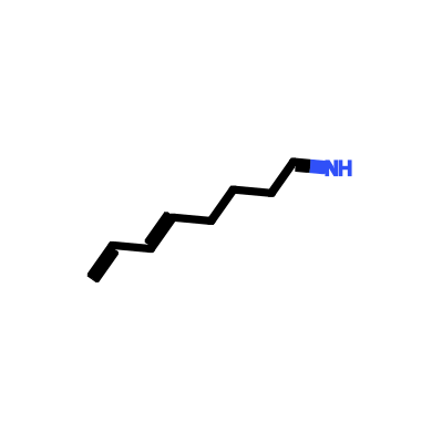 C=CC=CCCCC=N